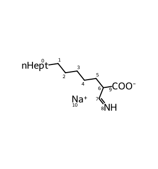 CCCCCCCCCCCCC(C=N)C(=O)[O-].[Na+]